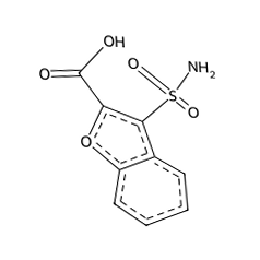 NS(=O)(=O)c1c(C(=O)O)oc2ccccc12